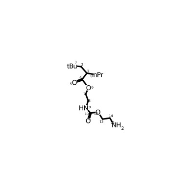 CCCC(CC(C)(C)C)C(=O)OCCNC(=O)OCCN